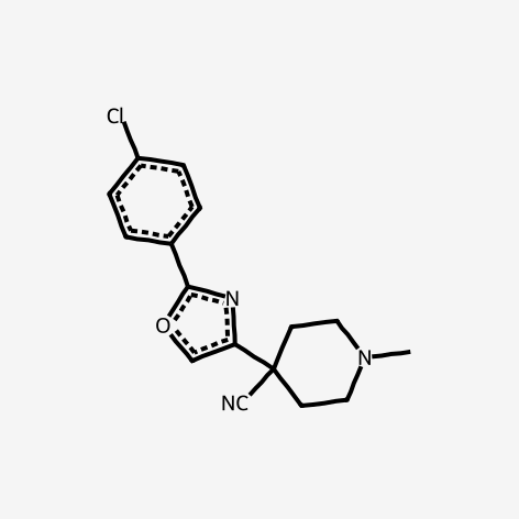 CN1CCC(C#N)(c2coc(-c3ccc(Cl)cc3)n2)CC1